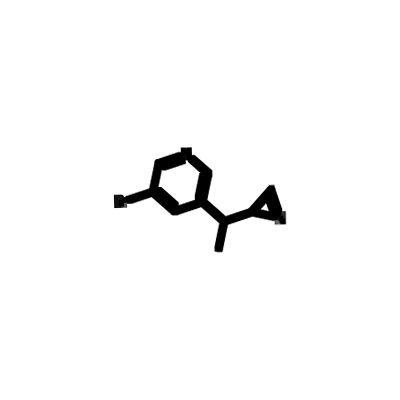 CC(c1cncc(Br)c1)C1C=N1